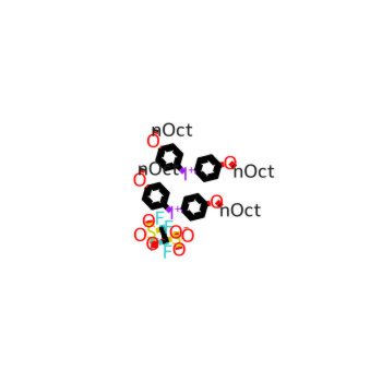 CCCCCCCCOc1ccc([I+]c2ccc(OCCCCCCCC)cc2)cc1.CCCCCCCCOc1ccc([I+]c2ccc(OCCCCCCCC)cc2)cc1.O=S(=O)([O-])C(F)(F)C(F)(F)S(=O)(=O)[O-]